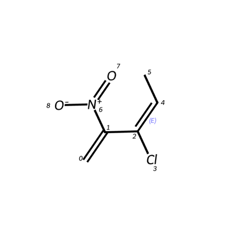 C=C(/C(Cl)=C\C)[N+](=O)[O-]